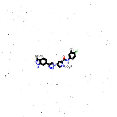 CC(=O)Nc1n[nH]c2cc(-c3cn([C@H]4C[C@@H](C(=O)Nc5ccc(Cl)c(C(F)(F)F)c5)N(C(=O)O)C4)nn3)ccc12